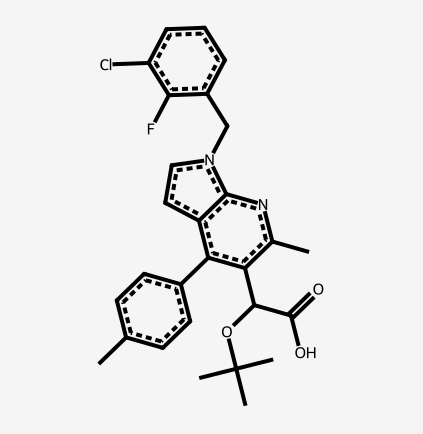 Cc1ccc(-c2c(C(OC(C)(C)C)C(=O)O)c(C)nc3c2ccn3Cc2cccc(Cl)c2F)cc1